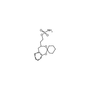 NS(=O)(=O)OCCC1Cc2ccccc2OC2(CCCCC2)O1